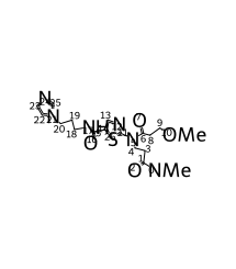 CNC(=O)CCN(C(=O)CCOC)c1ncc(C(=O)NCCCn2ccnc2)s1